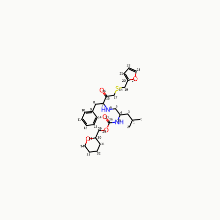 CC(C)CC(CNC(Cc1ccccc1)C(=O)CSCc1ccco1)NC(=O)OCC1CCCCO1